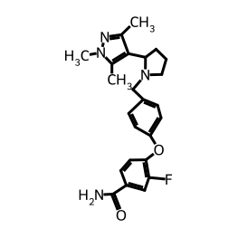 Cc1nn(C)c(C)c1C1CCCN1Cc1ccc(Oc2ccc(C(N)=O)cc2F)cc1